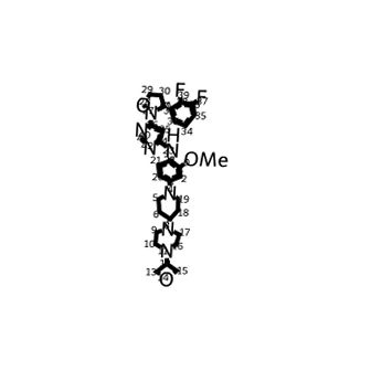 COc1cc(N2CCC(N3CCN(C4COC4)CC3)CC2)ccc1Nc1cc(N2OCC[C@@H]2c2cccc(F)c2F)ncn1